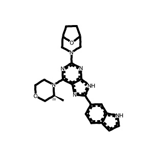 C[C@H]1COCCN1c1nc(N2CC3CCC(C2)O3)nc2[nH]c(-c3ccc4cc[nH]c4c3)nc12